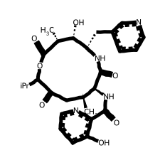 CC(C)C1OC(=O)[C@H](C)[C@H](O)[C@H](Cc2cccnc2)NC(=O)[C@@H](NC(=O)c2ncccc2O)[C@@H](C)CC1=O